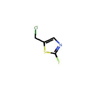 Fc1ncc(CCl)s1